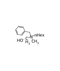 CCCCCC[N+](C)(C)Cc1ccccc1.[OH-]